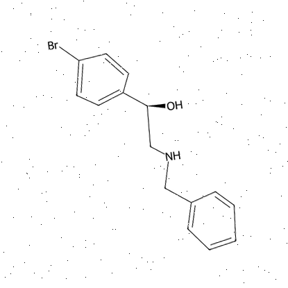 O[C@@H](CNCc1ccccc1)c1ccc(Br)cc1